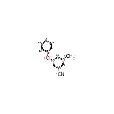 [CH2]c1cc(C#N)cc(Oc2ccccc2)c1